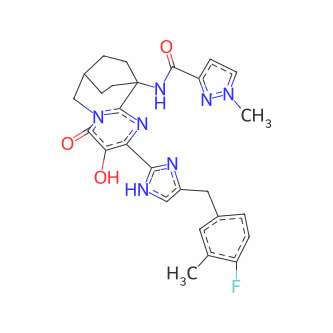 Cc1cc(Cc2c[nH]c(-c3nc4n(c(=O)c3O)CC3CCC4(NC(=O)c4ccn(C)n4)CC3)n2)ccc1F